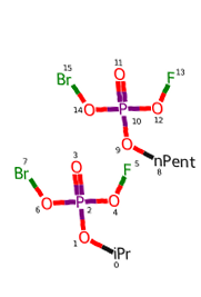 CC(C)OP(=O)(OF)OBr.CCCCCOP(=O)(OF)OBr